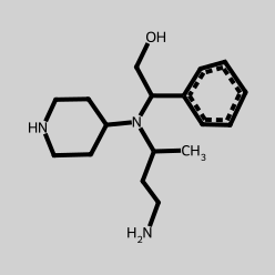 CC(CCN)N(C1CCNCC1)C(CO)c1ccccc1